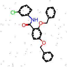 O=C(Nc1cccc(Cl)c1)c1ccc(OCc2ccccc2)cc1OCc1ccccc1